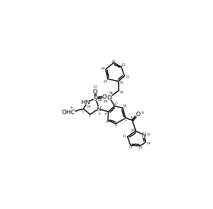 O=CC1CN(c2ccc(C(=O)c3ccccn3)cc2OCc2ccccc2)S(=O)(=O)N1